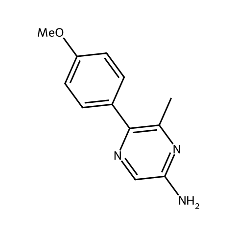 COc1ccc(-c2ncc(N)nc2C)cc1